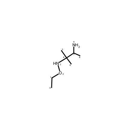 CCONC(C)(C)C(C)N